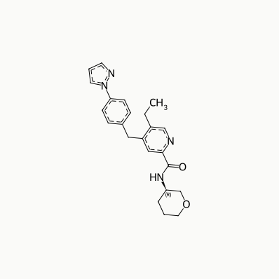 CCc1cnc(C(=O)N[C@@H]2CCCOC2)cc1Cc1ccc(-n2cccn2)cc1